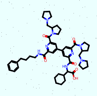 O=C(NCCCCc1ccccc1)c1cc(-c2cc(C(=O)NC(C(=O)O)C3CCCCC3)nc(C(=O)N3CCCC3CN3CCCC3)c2)cc(C(=O)N2CCCC2CN2CCCC2)n1